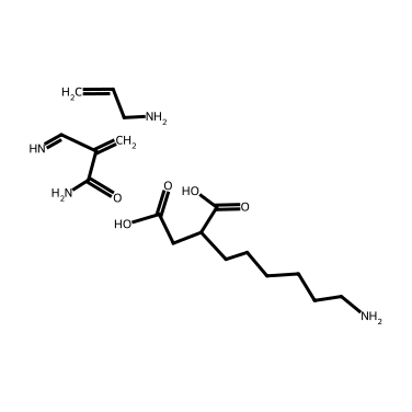 C=C(C=N)C(N)=O.C=CCN.NCCCCCCC(CC(=O)O)C(=O)O